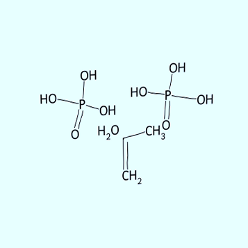 C=CC.O.O=P(O)(O)O.O=P(O)(O)O